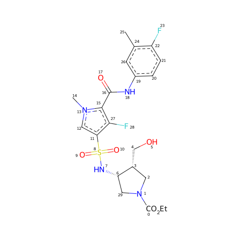 CCOC(=O)N1C[C@@H](CO)[C@@H](NS(=O)(=O)c2cn(C)c(C(=O)Nc3ccc(F)c(C)c3)c2F)C1